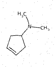 CN(C)C1CC=CC1